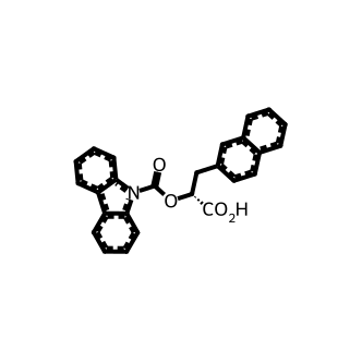 O=C(O)[C@@H](Cc1ccc2ccccc2c1)OC(=O)n1c2ccccc2c2ccccc21